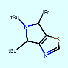 CC(C)C1c2scnc2C(C(C)(C)C)N1C(C)(C)C